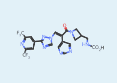 O=C(O)NCC1CN(C(=O)C(=Cn2cnc(-c3cc(C(F)(F)F)nc(C(F)(F)F)c3)n2)c2cncnc2)C1